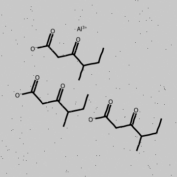 CCC(C)C(=O)CC(=O)[O-].CCC(C)C(=O)CC(=O)[O-].CCC(C)C(=O)CC(=O)[O-].[Al+3]